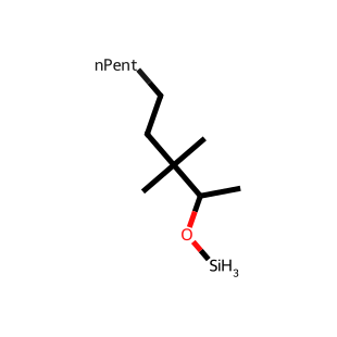 CCCCCCCC(C)(C)C(C)O[SiH3]